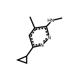 CNc1nnc(C2CC2)cc1C